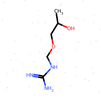 CC(O)COCNC(=N)N